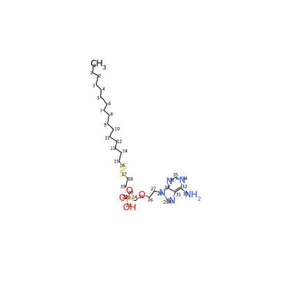 CCCCCCCCCCCCCCCCSSCCOP(=O)(O)COCCn1cnc2c(N)ncnc21